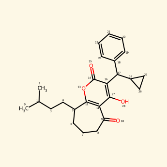 CC(C)CCC1CCCC(=O)c2c1oc(=O)c(C(c1ccccc1)C1CC1)c2O